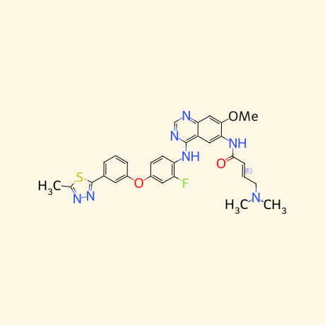 COc1cc2ncnc(Nc3ccc(Oc4cccc(-c5nnc(C)s5)c4)cc3F)c2cc1NC(=O)/C=C/CN(C)C